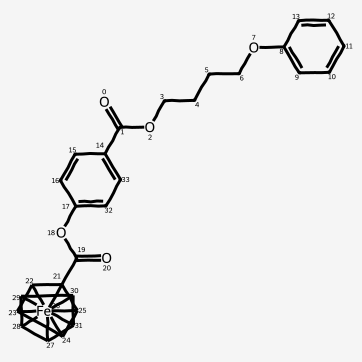 O=C(OCCCCOc1ccccc1)c1ccc(OC(=O)[C]23[CH]4[CH]5[CH]6[CH]2[Fe]56432789[CH]3[CH]2[CH]7[CH]8[CH]39)cc1